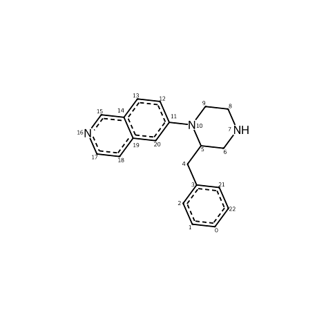 c1ccc(CC2CNCCN2c2ccc3cnccc3c2)cc1